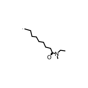 [CH2]CCCCCCCC(=O)N(C)CC